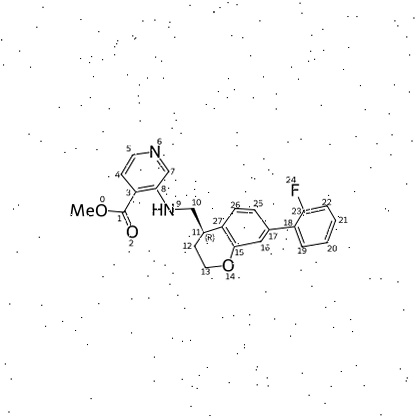 COC(=O)c1ccncc1NC[C@@H]1CCOc2cc(-c3ccccc3F)ccc21